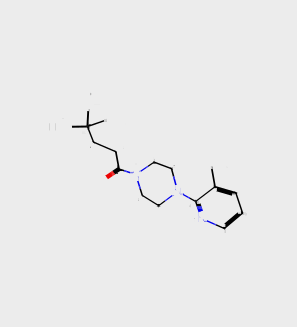 Cc1cccnc1N1CCN(C(=O)CCC(C)(C)C)CC1